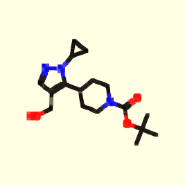 CC(C)(C)OC(=O)N1CCC(c2c(CO)cnn2C2CC2)CC1